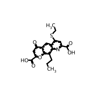 CCCc1c2nc(C(=O)O)cc(SCC)c2cc2c(=O)cc(C(=O)O)oc12